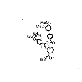 COc1ccc(-c2ccc(C(=O)O[C@@H]3CCCN(C(=O)OC(C)(C)C)C[C@H]3NC(=O)c3ccc(O[Si](C)(C)C(C)(C)C)cc3)cc2)cc1OC